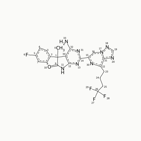 CC1(c2ccc(F)cc2)C(=O)Nc2nc(-c3cn4ncnc4c(CCCC(F)(F)F)n3)nc(N)c21